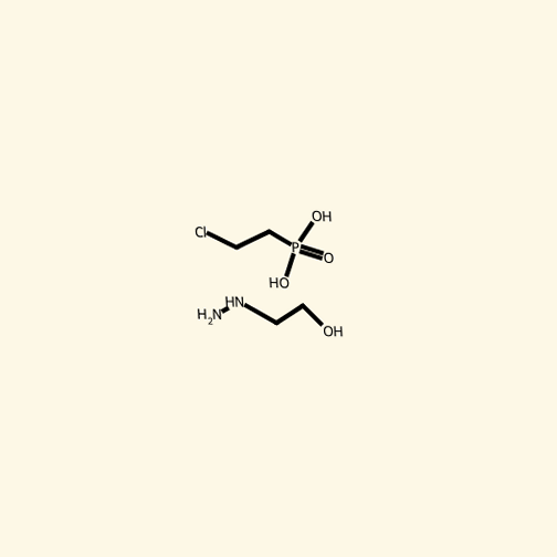 NNCCO.O=P(O)(O)CCCl